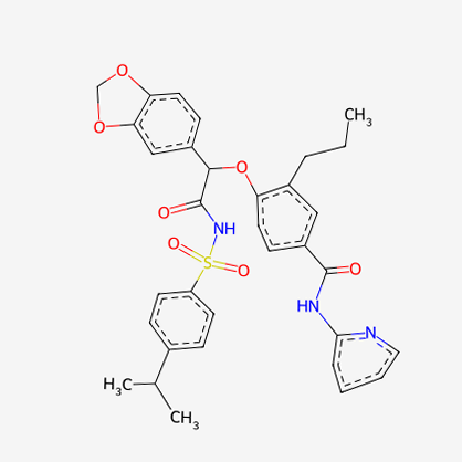 CCCc1cc(C(=O)Nc2ccccn2)ccc1OC(C(=O)NS(=O)(=O)c1ccc(C(C)C)cc1)c1ccc2c(c1)OCO2